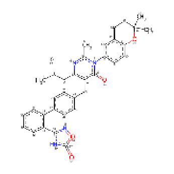 CCCc1nc(C)n(-c2ccc3c(c2)CCC(C)(C)O3)c(=O)c1Cc1ccc(-c2ccccc2-c2noc(=O)[nH]2)cc1.[K]